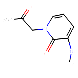 CSC(=O)Cn1cccc(NC(C)C)c1=O